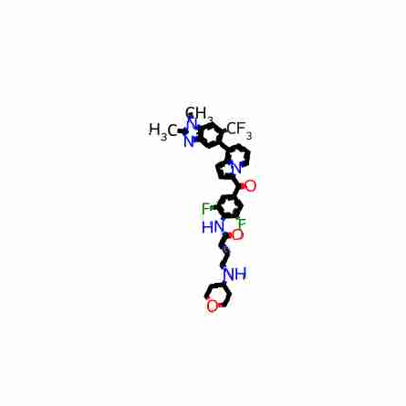 Cc1nc2cc(-c3cccn4c(C(=O)c5cc(F)c(NC(=O)/C=C/CNC6CCOCC6)c(F)c5)ccc34)c(C(F)(F)F)cc2n1C